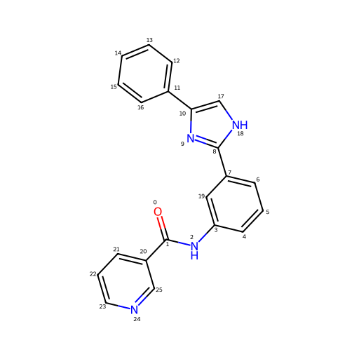 O=C(Nc1cccc(-c2nc(-c3ccccc3)c[nH]2)c1)c1cccnc1